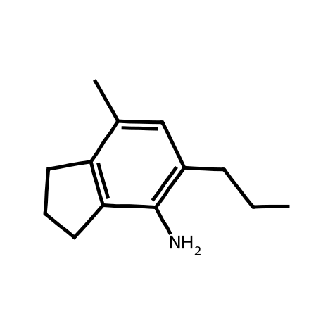 CCCc1cc(C)c2c(c1N)CCC2